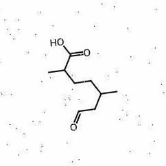 CC(CC=O)CCC(C)C(=O)O